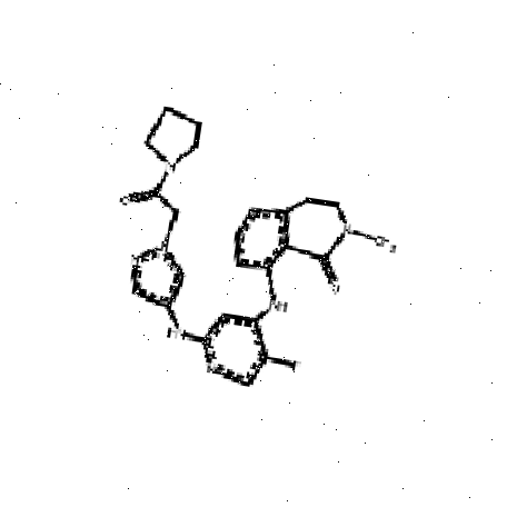 CN1CCc2cccc(Nc3cc(Nc4cnn(CC(=O)N5CCCC5)c4)ncc3F)c2C1=O